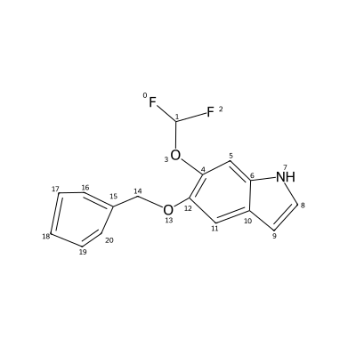 FC(F)Oc1cc2[nH]ccc2cc1OCc1ccccc1